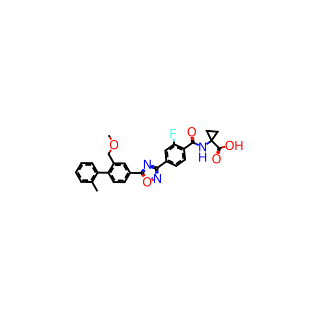 COCc1cc(-c2nc(-c3ccc(C(=O)NC4(C(=O)O)CC4)c(F)c3)no2)ccc1-c1ccccc1C